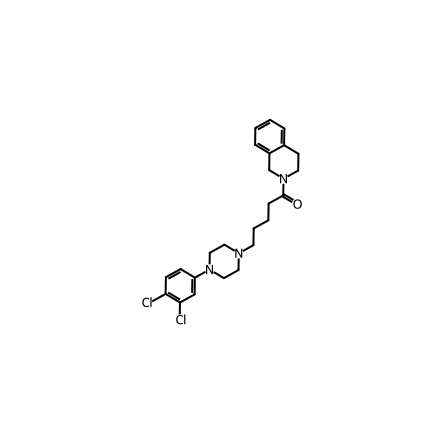 O=C(CCCCN1CCN(c2ccc(Cl)c(Cl)c2)CC1)N1CCc2ccccc2C1